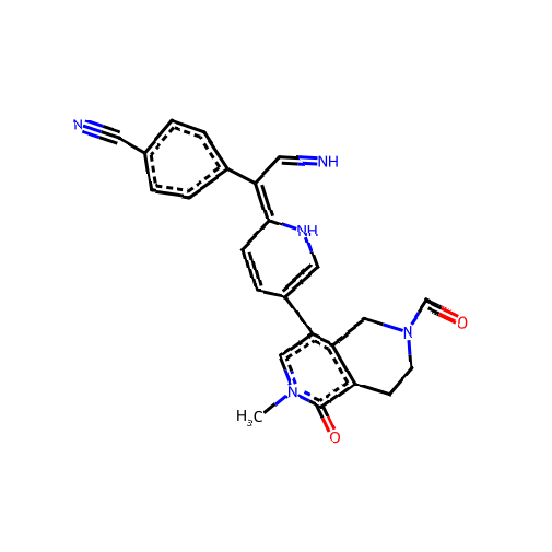 Cn1cc(C2=CN/C(=C(\C=N)c3ccc(C#N)cc3)C=C2)c2c(c1=O)CCN(C=O)C2